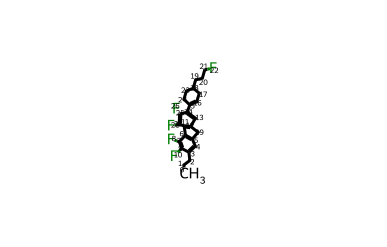 CCCc1cc2c(c(F)c1F)-c1c(cc(C3=CCC(CCCF)CC3)c(F)c1F)C2